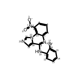 O=[N+]([O-])c1cccc2nc(Nc3ccccc3Br)c3cncn3c12